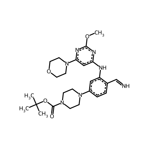 COc1nc(Nc2cc(N3CCN(C(=O)OC(C)(C)C)CC3)ccc2C=N)cc(N2CCOCC2)n1